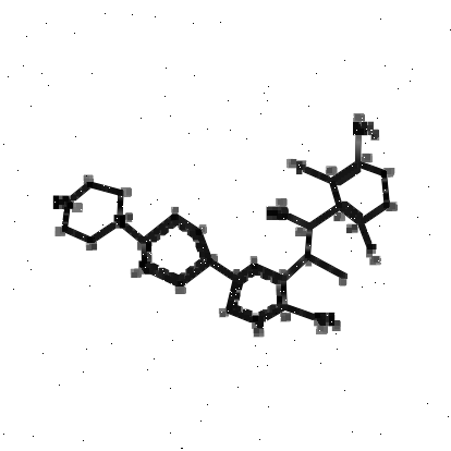 CC(c1cc(-c2ccc(N3CCNCC3)nc2)cnc1N)C(O)C1=C(F)CCC(N)=C1F